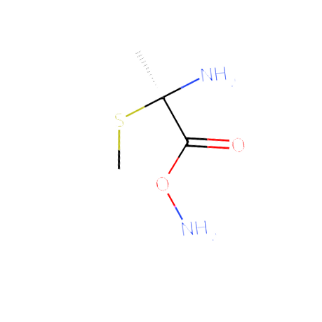 CS[C@@](C)(N)C(=O)ON